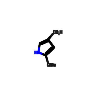 COc1cc(C(=O)O)c[nH]1